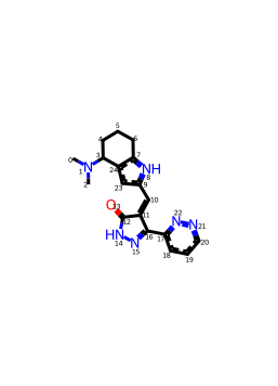 CN(C)C1CCCc2[nH]c(C=C3C(=O)NN=C3c3cccnn3)cc21